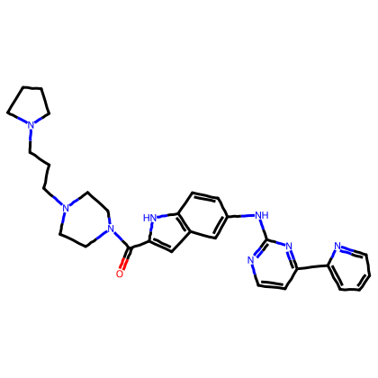 O=C(c1cc2cc(Nc3nccc(-c4ccccn4)n3)ccc2[nH]1)N1CCN(CCCN2CCCC2)CC1